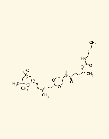 CCCCNC(=O)OC(C)C=CC(=O)NC1COC(CC=C(C)C=C[C@@H]2C[C@]3(CO3)CC(C)(C)O2)OC1